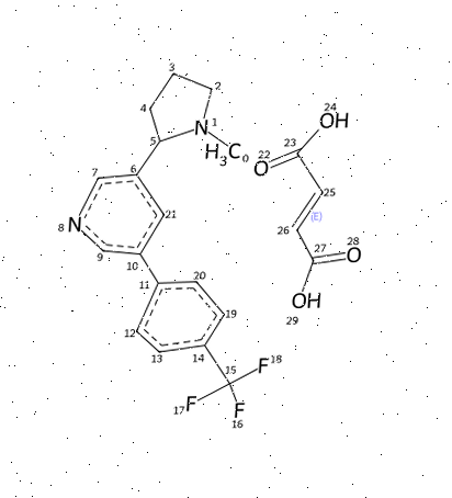 CN1CCCC1c1cncc(-c2ccc(C(F)(F)F)cc2)c1.O=C(O)/C=C/C(=O)O